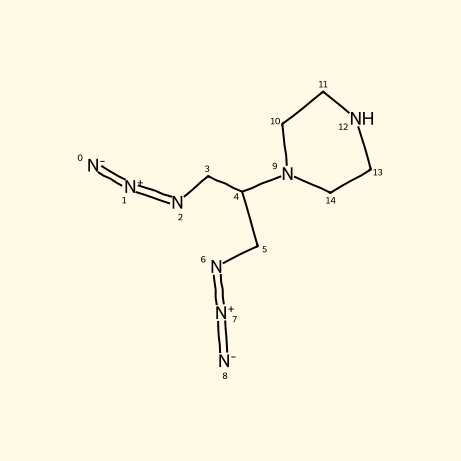 [N-]=[N+]=NCC(CN=[N+]=[N-])N1CCNCC1